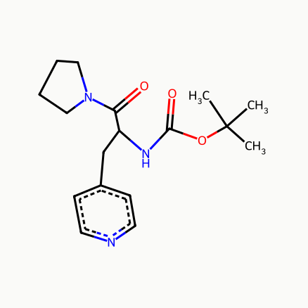 CC(C)(C)OC(=O)NC(Cc1ccncc1)C(=O)N1CCCC1